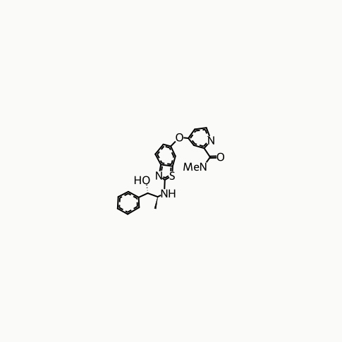 CNC(=O)c1cc(Oc2ccc3nc(N[C@@H](C)[C@@H](O)c4ccccc4)sc3c2)ccn1